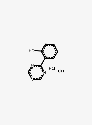 Cl.Cl.Oc1ccccc1-c1ncncn1